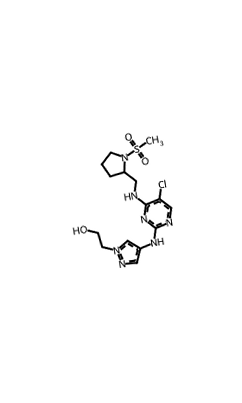 CS(=O)(=O)N1CCCC1CNc1nc(Nc2cnn(CCO)c2)ncc1Cl